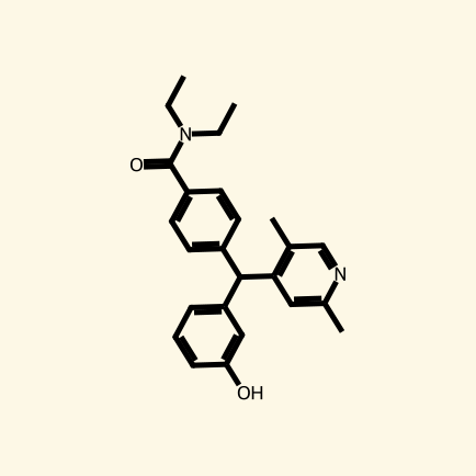 CCN(CC)C(=O)c1ccc(C(c2cccc(O)c2)c2cc(C)ncc2C)cc1